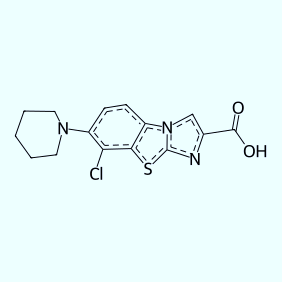 O=C(O)c1cn2c(n1)sc1c(Cl)c(N3CCCCC3)ccc12